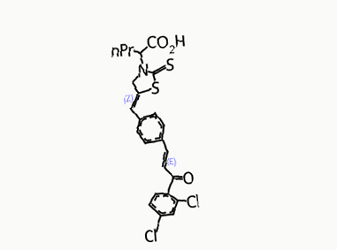 CCCC(C(=O)O)N1C/C(=C/c2ccc(/C=C/C(=O)c3ccc(Cl)cc3Cl)cc2)SC1=S